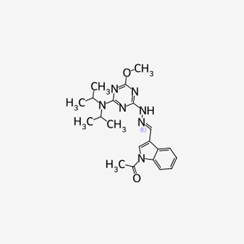 COc1nc(N/N=C/c2cn(C(C)=O)c3ccccc23)nc(N(C(C)C)C(C)C)n1